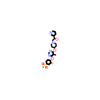 Cc1c(Oc2ccc(S(C)(=O)=O)cc2F)ncnc1OC1CCN(CC(=O)c2cccnc2)CC1